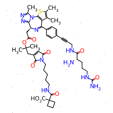 Cc1sc2c(c1C)C(c1ccc(C#CCNC(=O)[C@@H](N)CCCNC(N)=O)cc1)=N[C@@H](CC(=O)OC(C)(C)CC1=CC(=O)N(CCCCCNC(=O)C3(C(=O)O)CCC3)C1=O)c1nnc(C)n1-2